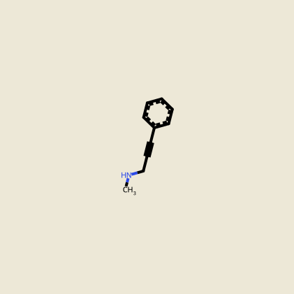 CNCC#Cc1ccccc1